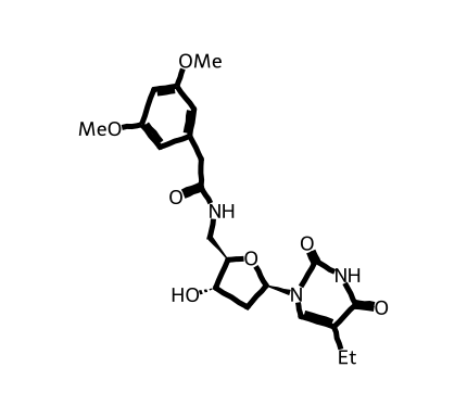 CCc1cn([C@H]2C[C@H](O)[C@@H](CNC(=O)Cc3cc(OC)cc(OC)c3)O2)c(=O)[nH]c1=O